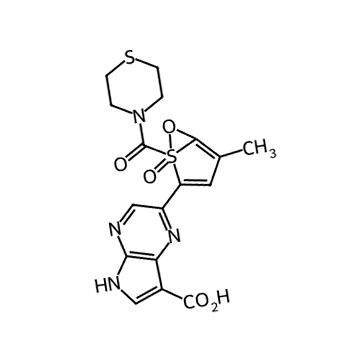 CC1=C2OS2(=O)(C(=O)N2CCSCC2)C(c2cnc3[nH]cc(C(=O)O)c3n2)=C1